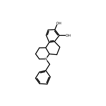 Oc1ccc2c(c1O)CCC1C2CCCN1Cc1ccccc1